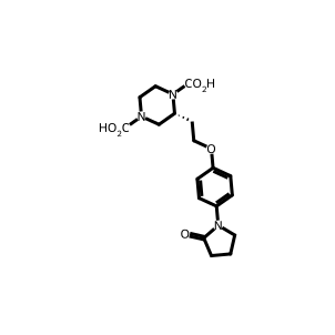 O=C(O)N1CCN(C(=O)O)[C@H](CCOc2ccc(N3CCCC3=O)cc2)C1